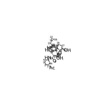 CC(=O)c1cccc(NC(=O)C2=C(O)[C@@H]3Oc4c(O)ccc5c4[C@@]34CCN(CC3CC3)[C@H](C5)[C@]4(O)C2)c1